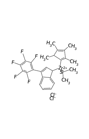 CC1=C(C)C(C)[C]([Zr+2]([CH]2C=C(c3c(F)c(F)c(F)c(F)c3F)c3ccccc32)=[Si](C)C)=C1C.[Cl-].[Cl-]